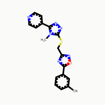 Cn1c(SCc2noc(-c3cccc(C#N)c3)n2)nnc1-c1ccncc1